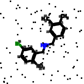 Cc1ccc(CNCc2cc(Br)ccc2[N+](=O)[O-])cc1C